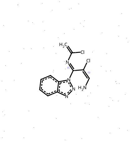 C=C(Cl)/N=C(\C(Cl)=C/N)n1nnc2ccccc21